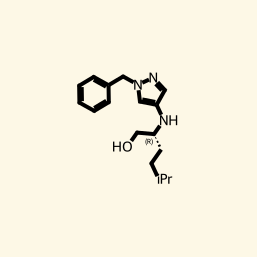 CC(C)CC[C@H](CO)Nc1cnn(Cc2ccccc2)c1